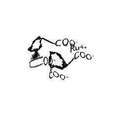 O=C([O-])c1cccc(C(=O)[O-])c1.O=C([O-])c1cccc(C(=O)[O-])c1.[Ru+4]